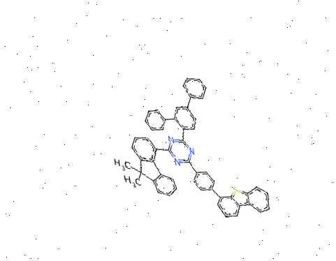 CC1(C)c2ccccc2-c2c(-c3nc(-c4ccc(-c5cccc6c5sc5ccccc56)cc4)nc(-c4ccc(-c5ccccc5)cc4-c4ccccc4)n3)cccc21